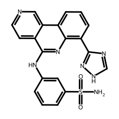 NS(=O)(=O)c1cccc(Nc2nc3c(-c4nc[nH]n4)cccc3c3cnccc23)c1